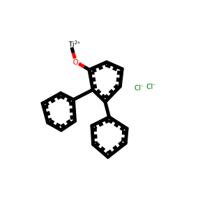 [Cl-].[Cl-].[Ti+2][O]c1cccc(-c2ccccc2)c1-c1ccccc1